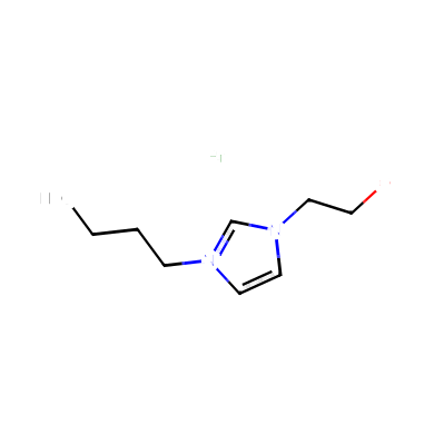 CCCC[n+]1ccn(CCO)c1.[Br-]